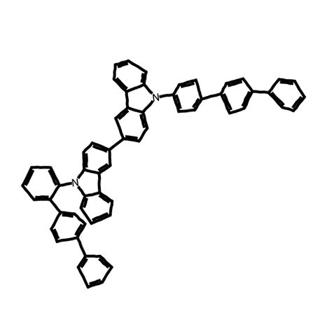 c1ccc(-c2ccc(-c3ccc(-n4c5ccccc5c5cc(-c6ccc7c(c6)c6ccccc6n7-c6ccccc6-c6ccc(-c7ccccc7)cc6)ccc54)cc3)cc2)cc1